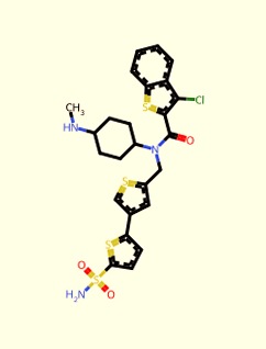 CNC1CCC(N(Cc2cc(-c3ccc(S(N)(=O)=O)s3)cs2)C(=O)c2sc3ccccc3c2Cl)CC1